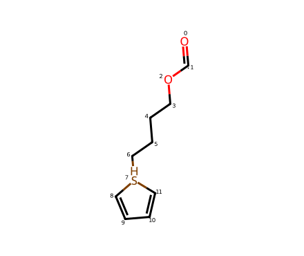 O=[C]OCCCC[SH]1C=CC=C1